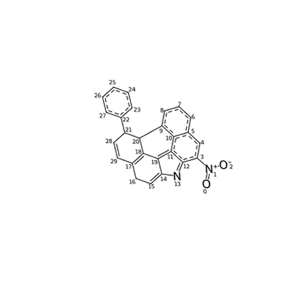 O=[N+]([O-])c1cc2cccc3c2c2c1=NC1=CCC4=C(C=21)C3C(c1ccccc1)C=C4